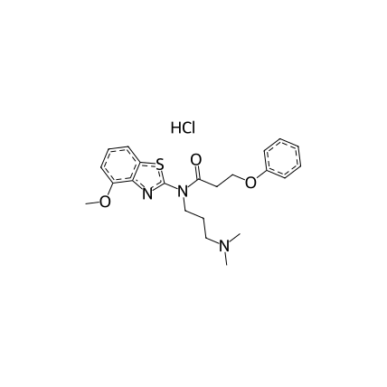 COc1cccc2sc(N(CCCN(C)C)C(=O)CCOc3ccccc3)nc12.Cl